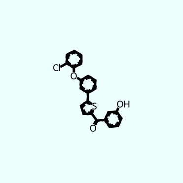 O=C(c1cccc(O)c1)c1ccc(-c2cccc(Oc3ccccc3Cl)c2)s1